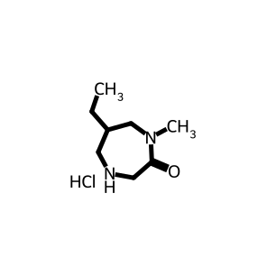 CCC1CNCC(=O)N(C)C1.Cl